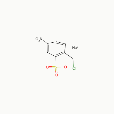 O=[N+]([O-])c1ccc(CCl)c(S(=O)(=O)[O-])c1.[Na+]